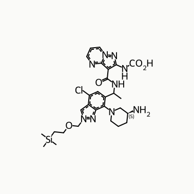 CC(NC(=O)c1c(NC(=O)O)nn2cccnc12)c1cc(Cl)c2cn(COCC[Si](C)(C)C)nc2c1N1CCC[C@H](N)C1